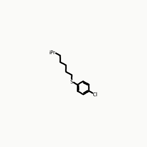 CC(C)CCCCCSc1ccc(Cl)cc1